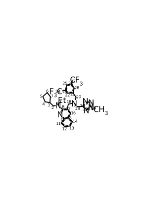 CCN(CC1CCCC1)c1nc2ccccc2cc1CN(Cc1cc(C(F)(F)F)cc(C(F)(F)F)c1)Cc1nnn(C)n1